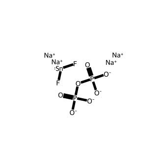 O=P([O-])([O-])OP(=O)([O-])[O-].[F][Sn][F].[Na+].[Na+].[Na+].[Na+]